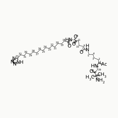 CC(=O)[C@H](CCCCNC(=O)CCCS(=O)(=O)NC(=O)CCCCCCCCCCCCCCCc1nnn[nH]1)NCC(=O)C(C)(C)N